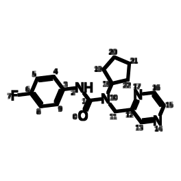 O=C(Nc1ccc(F)cc1)N(Cc1cnccn1)C1CCCC1